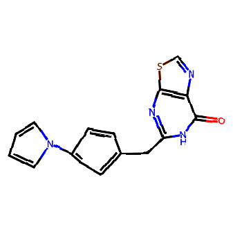 O=c1[nH]c(Cc2ccc(-n3cccc3)cc2)nc2scnc12